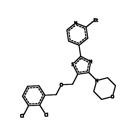 CCc1cc(-c2nc(N3CCOCC3)c(COCc3cccc(Cl)c3Cl)s2)ccn1